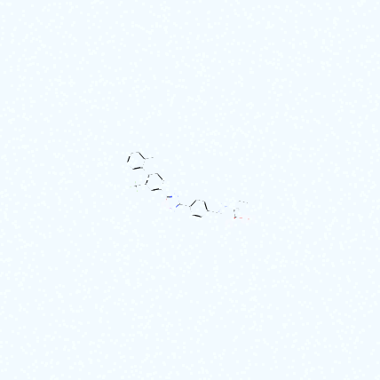 CC[C@H](N[C@H](C)c1ccc(-c2noc(-c3ccc(-c4ccccc4C)c(C(F)(F)F)c3)n2)cc1)C(=O)O